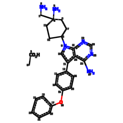 CC(=O)O.NCC1(N)CCC(n2cc(-c3ccc(Oc4ccccc4)cc3)c3c(N)ncnc32)CC1